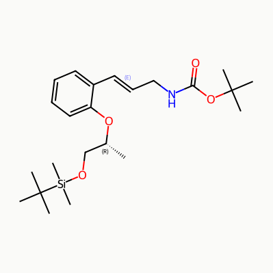 C[C@H](CO[Si](C)(C)C(C)(C)C)Oc1ccccc1/C=C/CNC(=O)OC(C)(C)C